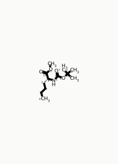 CCCC[C@@H](NC(=O)OC(C)(C)C)C(=O)OC